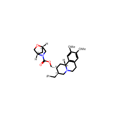 COc1cc2c(cc1OC)[C@H]1C[C@@H](COC(=O)N3C[C@@H]4C[C@H]3CO4)[C@H](CC(C)C)CN1CC2